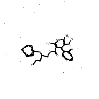 CC1=C(C(=O)O)C(c2ccccc2Cl)C(C(=O)OCC(CCCl)Oc2ccccc2)=C(C)N1